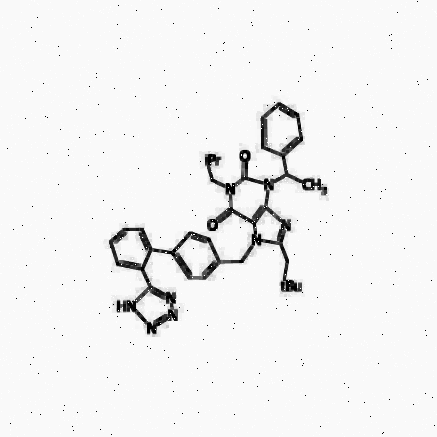 CC(C)Cn1c(=O)c2c(nc(CC(C)(C)C)n2Cc2ccc(-c3ccccc3-c3nnn[nH]3)cc2)n(C(C)c2ccccc2)c1=O